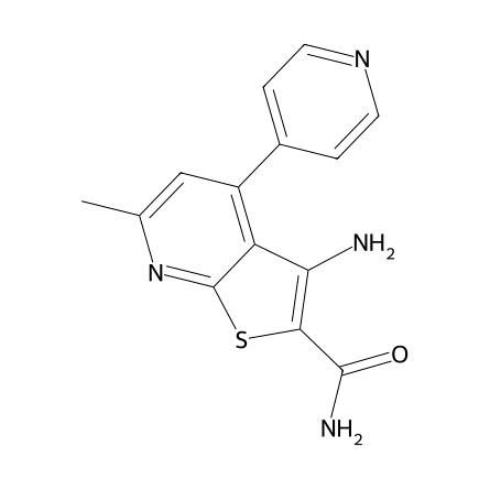 Cc1cc(-c2ccncc2)c2c(N)c(C(N)=O)sc2n1